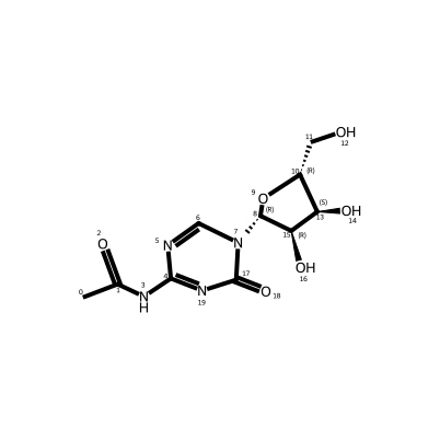 CC(=O)Nc1ncn([C@@H]2O[C@H](CO)[C@@H](O)[C@H]2O)c(=O)n1